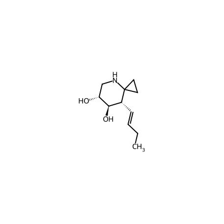 CC/C=C/[C@@H]1[C@@H](O)[C@H](O)CNC12CC2